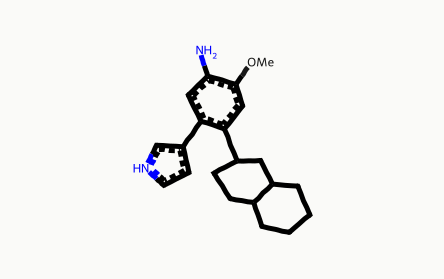 COc1cc(C2CCC3CCCCC3C2)c(-c2cc[nH]c2)cc1N